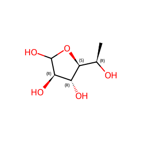 C[C@@H](O)[C@@H]1OC(O)[C@H](O)[C@H]1O